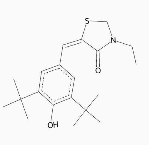 CCN1CSC(=Cc2cc(C(C)(C)C)c(O)c(C(C)(C)C)c2)C1=O